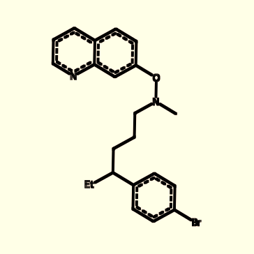 CCC(CCCN(C)Oc1ccc2cccnc2c1)c1ccc(Br)cc1